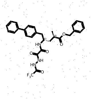 C[C@H](C[C@@H](Cc1ccc(-c2ccccc2)cc1)NC(=O)C(=O)NNC(=O)C(F)(F)F)C(=O)OCc1ccccc1